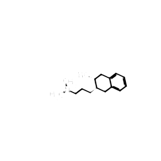 CN(C)CCC[C@@H]1Cc2ccccc2C[C@H]1O